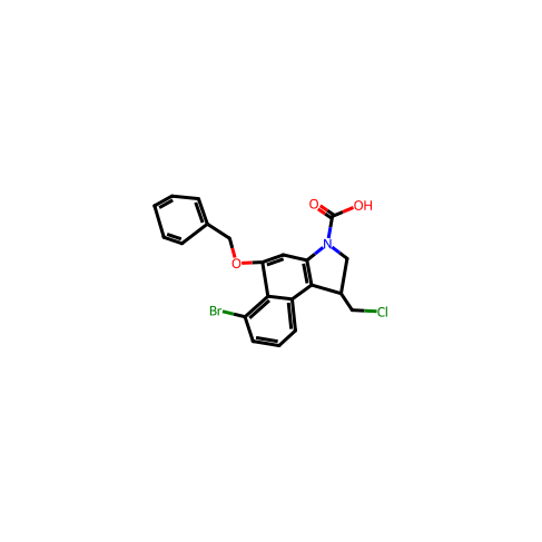 O=C(O)N1CC(CCl)c2c1cc(OCc1ccccc1)c1c(Br)cccc21